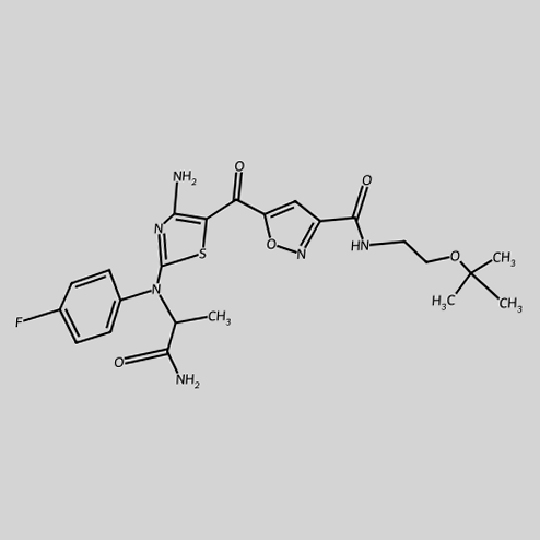 CC(C(N)=O)N(c1ccc(F)cc1)c1nc(N)c(C(=O)c2cc(C(=O)NCCOC(C)(C)C)no2)s1